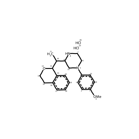 COc1ccc(N2CCNC(C(C)C3OCCc4ccccc43)C2)cc1.Cl.Cl